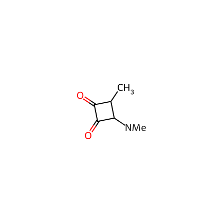 CNC1C(=O)C(=O)C1C